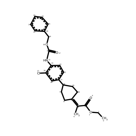 CCOC(=O)C(C)=C1CCC(c2ccc(NC(=O)OCc3ccccc3)c(Cl)c2)CC1